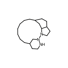 C1CCCC2CCC3CCN(C3C2)N2CC(CCC1)CCN2